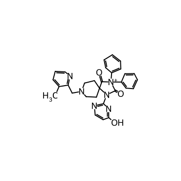 Cc1cccnc1CN1CCC2(CC1)C(=O)[N+](c1ccccc1)(c1ccccc1)C(=O)N2c1nccc(O)n1